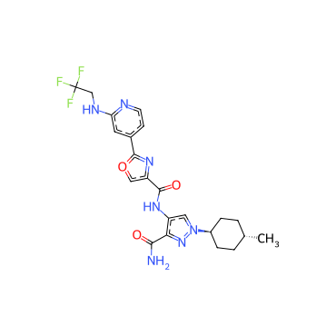 C[C@H]1CC[C@H](n2cc(NC(=O)c3coc(-c4ccnc(NCC(F)(F)F)c4)n3)c(C(N)=O)n2)CC1